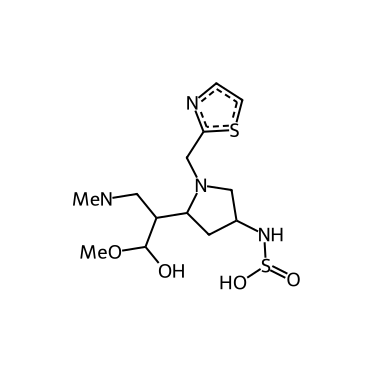 CNCC(C(O)OC)C1CC(NS(=O)O)CN1Cc1nccs1